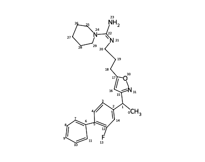 CC(c1ccc(-c2ccccc2)c(F)c1)c1cc(CCC/N=C(/N)N2CCCCC2)on1